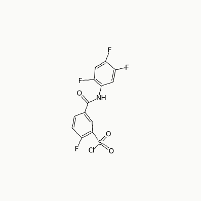 O=C(Nc1cc(F)c(F)cc1F)c1ccc(F)c(S(=O)(=O)Cl)c1